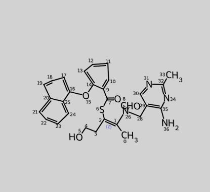 C/C(=C(\CCO)SC(=O)c1ccccc1Oc1cccc2ccccc12)N(C=O)Cc1cnc(C)nc1N